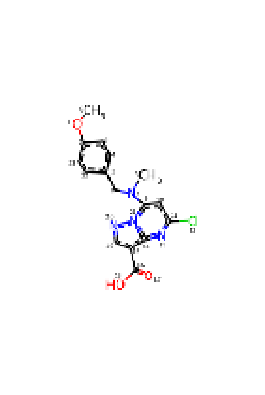 COc1ccc(CN(C)c2cc(Cl)nc3c(C(=O)O)cnn23)cc1